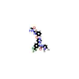 CC(=O)Nc1nc2c(Oc3cc(-c4ccc(C(F)(F)F)cc4NC(=O)[C@@H]4CC[C@H](C)N4C)ncn3)cccc2s1